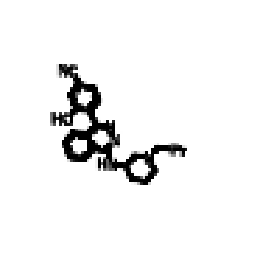 CC(C)CN1CCCC(Nc2nnc(-c3ccc(C#N)cc3O)c3ccccc23)C1